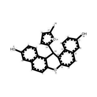 Oc1ccc2c3c(ccc2c1)Oc1ccc2cc(O)ccc2c1C3c1ccc(I)o1